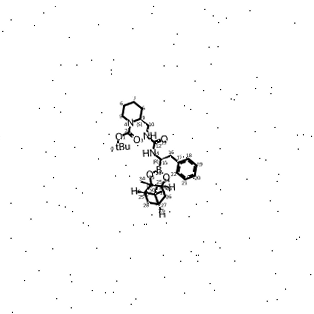 CC(C)(C)OC(=O)N1CCCC[C@H]1CNC(=O)N[C@@H](Cc1ccccc1)B1O[C@@H]2C[C@@H]3C[C@@H](C3(C)C)[C@]2(C)O1